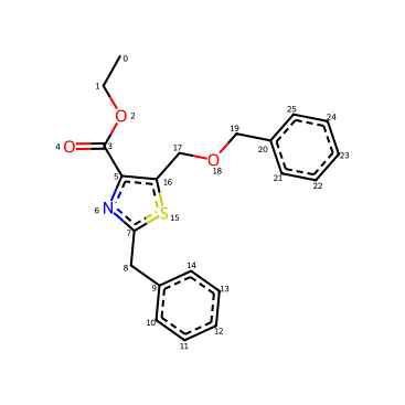 CCOC(=O)c1nc(Cc2ccccc2)sc1COCc1ccccc1